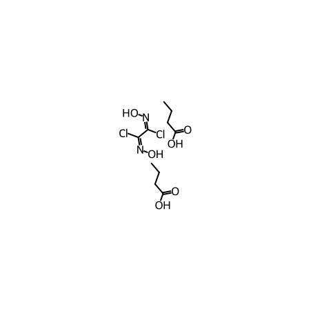 CCCC(=O)O.CCCC(=O)O.O/N=C(Cl)\C(Cl)=N/O